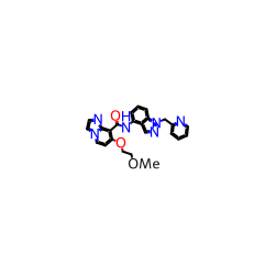 COCCOc1ccn2ccnc2c1C(=O)Nc1cccc2c1cnn2Cc1ccccn1